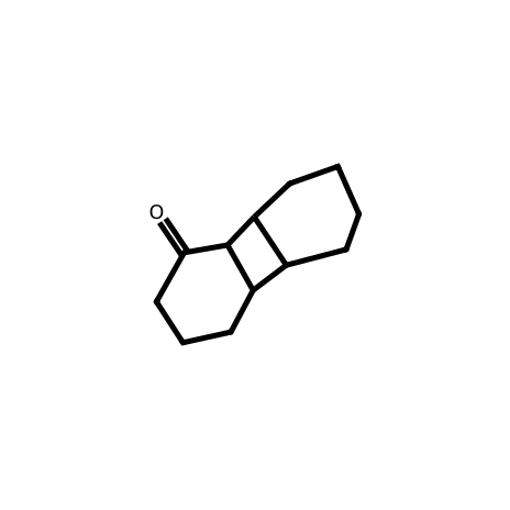 O=C1CCCC2C3CCCCC3C12